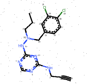 C#CCNc1ncnc(NN(CCC)Cc2ccc(Cl)c(Cl)c2)n1